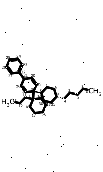 CCCCC[C@H]1CC[C@H](C2(C3(CCC)CCCCC3)C=CC(c3ccccc3)C=C2)CC1